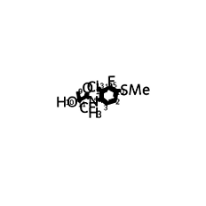 CSc1ccc(NC(=O)[C@@](C)(O)C(F)(F)F)c(Cl)c1F